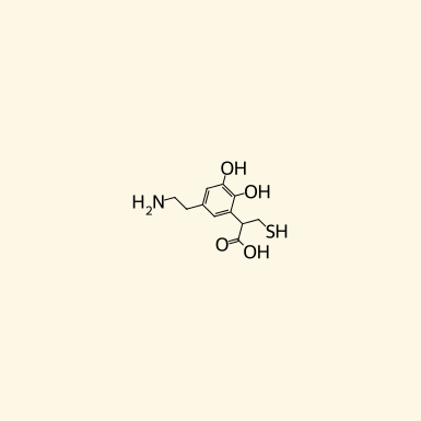 NCCc1cc(O)c(O)c(C(CS)C(=O)O)c1